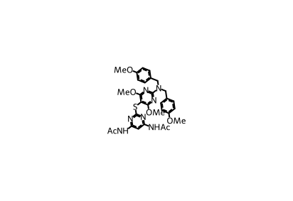 COc1ccc(CN(Cc2ccc(OC)cc2)c2nc(OC)c(Sc3nc(NC(C)=O)cc(NC(C)=O)n3)c(OC)n2)cc1